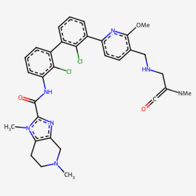 CNC(=C=O)CNCc1ccc(-c2cccc(-c3cccc(NC(=O)c4nc5c(n4C)CCN(C)C5)c3Cl)c2Cl)nc1OC